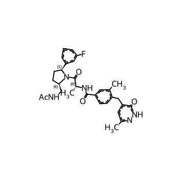 CC(=O)NC[C@H]1CC[C@@H](c2cccc(F)c2)N1C(=O)[C@@H](C)NC(=O)c1ccc(Cc2cc(C)n[nH]c2=O)c(C)c1